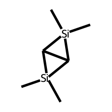 C[Si]1(C)C2C1[Si]2(C)C